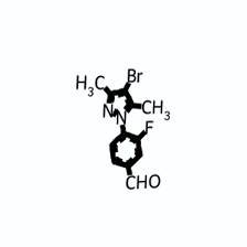 Cc1nn(-c2ccc(C=O)cc2F)c(C)c1Br